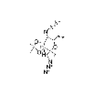 C=CC1OC(C=C)(CN=[N+]=[N-])[C@@H]2OC(C)(C)OC2C1N=[N+]=[N-]